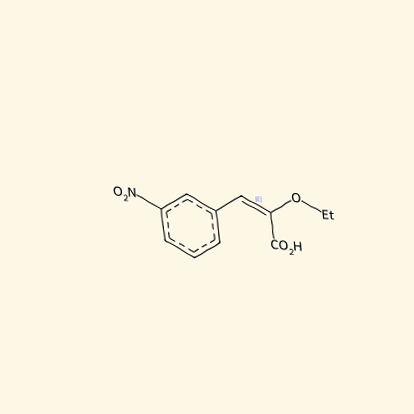 CCO/C(=C/c1cccc([N+](=O)[O-])c1)C(=O)O